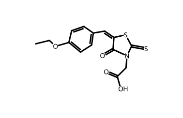 CCOc1ccc(C=C2SC(=S)N(CC(=O)O)C2=O)cc1